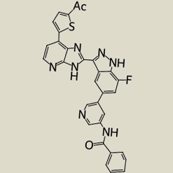 CC(=O)c1ccc(-c2ccnc3[nH]c(-c4n[nH]c5c(F)cc(-c6cncc(NC(=O)c7ccccc7)c6)cc45)nc23)s1